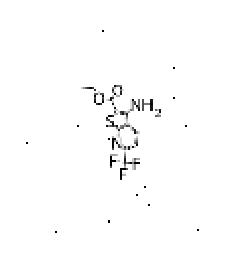 CCOC(=O)c1sc2nc(C(F)(F)F)ccc2c1N